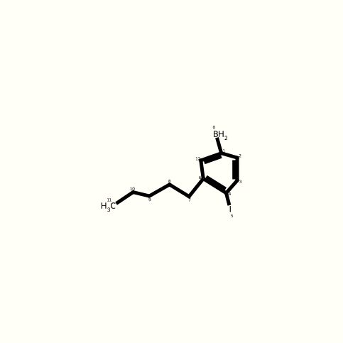 Bc1ccc(I)c(CCCCC)c1